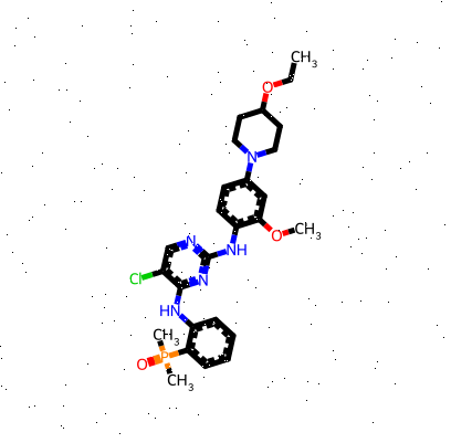 CCOC1CCN(c2ccc(Nc3ncc(Cl)c(Nc4ccccc4P(C)(C)=O)n3)c(OC)c2)CC1